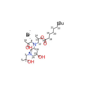 CC(O)CN(CCN(CC(C)O)CC(C)OC(=O)CCCCCC(C)(C)C)CC(C)O.[Bi]